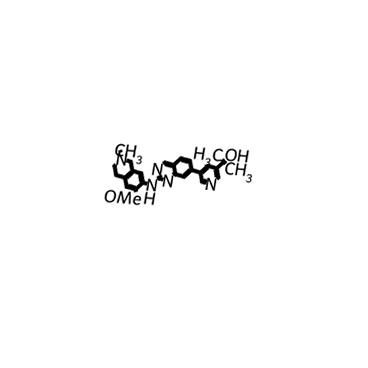 COc1cc2c(cc1Nc1ncc3ccc(-c4cncc(C(C)(C)O)c4)cc3n1)CN(C)CC2